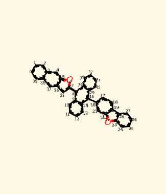 c1ccc2cc3oc(-c4c5ccccc5c(-c5ccc6c(c5)oc5ccccc56)c5ccccc45)cc3cc2c1